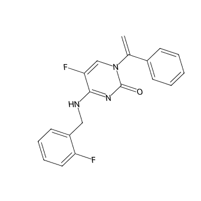 C=C(c1ccccc1)n1cc(F)c(NCc2ccccc2F)nc1=O